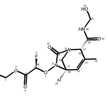 CCOC(=O)[C@@H](F)ON1C(=O)N2C[C@H]1C=C(C)[C@H]2C(=O)NCO